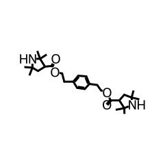 CC1(C)CC(C(=O)OCCc2ccc(CCOC(=O)C3CC(C)(C)NC3(C)C)cc2)C(C)(C)N1